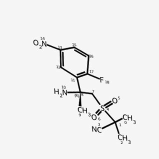 CC(C)(C#N)S(=O)(=O)C[C@](C)(N)c1cc([N+](=O)[O-])ccc1F